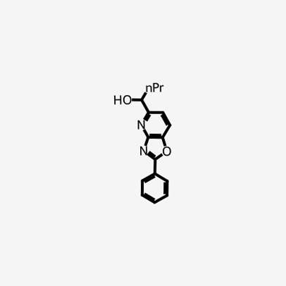 CCCC(O)c1ccc2oc(-c3ccccc3)nc2n1